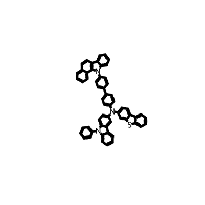 c1ccc(-n2c3ccccc3c3cc(N(c4ccc(-c5ccc(-n6c7ccccc7c7ccc8ccccc8c76)cc5)cc4)c4ccc5c(c4)sc4ccccc45)ccc32)cc1